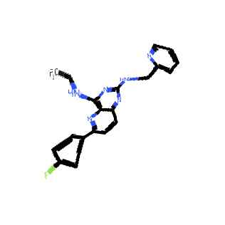 Fc1ccc(-c2ccc3nc(NCc4ccccn4)nc(NCC(F)(F)F)c3n2)cc1